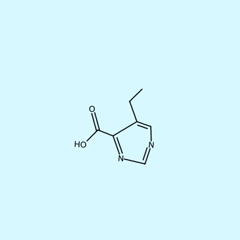 CCc1cncnc1C(=O)O